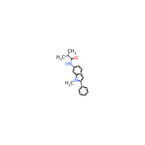 CC(C)C(=O)Nc1ccc2cc(-c3ccccc3)n(C)c2c1